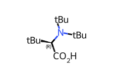 CC(C)(C)[C@H](C(=O)O)N(C(C)(C)C)C(C)(C)C